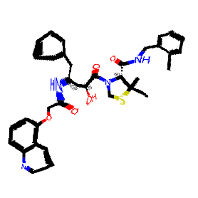 Cc1ccccc1CNC(=O)[C@H]1N(C(=O)[C@@H](O)[C@H](Cc2ccccc2)NC(=O)COc2cccc3ncccc23)CSC1(C)C